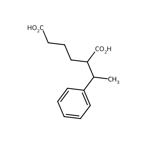 CC(c1ccccc1)C(CCCC(=O)O)C(=O)O